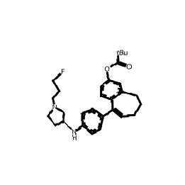 CC(C)(C)C(=O)Oc1ccc2c(c1)CCCC=C2c1ccc(N[C@H]2CCN(CCCF)C2)cc1